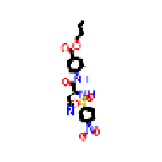 CCCCOC(=O)c1ccc(NC(=O)[C@H](CC#N)NS(=O)(=O)c2ccc([N+](=O)[O-])cc2)cc1